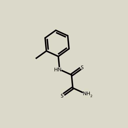 Cc1ccccc1NC(=S)C(N)=S